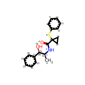 C[C@H](NC(=O)C1(Sc2ccccc2)CC1)[C@H](O)c1ccccc1